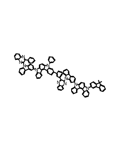 CC1(C)c2ccccc2-c2cc(-n3c4ccccc4c4c5c6ccccc6n(-c6ccc7c8ccccc8n(-c8nc9ccccc9nc8-c8cccc(-c9ccc%10c%11c%12c%13ccccc%13n(-c%13ccc%14c(c%13)c%13ccccc%13n%14-c%13nc%14ccccc%14nc%13-c%13ccccc%13)c%12ccc%11n(-c%11ccccc%11)c%10c9)c8)c7c6)c5ccc43)ccc21